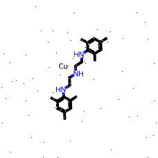 Cc1cc(C)c(NCCNCCNc2c(C)cc(C)cc2C)c(C)c1.[Cu]